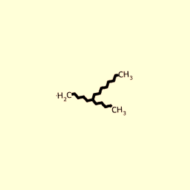 [CH2]CCCCC(CCCCC)CCCCCCCC